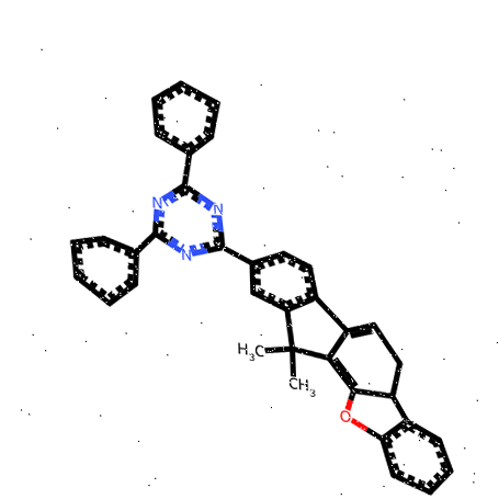 CC1(C)C2=C3Oc4ccccc4C3CC=C2c2ccc(-c3nc(-c4ccccc4)nc(-c4ccccc4)n3)cc21